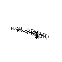 CCN(C(=O)NCCCN(C)C)C(=O)C(C)C1CCC2C3CCC4CC(CCNCCNC)CC[C@]4(C)C3CC[C@]12C